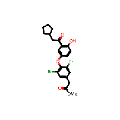 COC(=O)Cc1cc(Br)c(Oc2ccc(O)c(C(=O)CC3CCCC3)c2)c(Br)c1